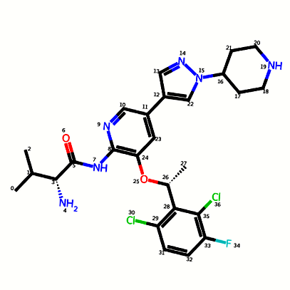 CC(C)[C@@H](N)C(=O)Nc1ncc(-c2cnn(C3CCNCC3)c2)cc1O[C@H](C)c1c(Cl)ccc(F)c1Cl